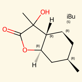 CC[C@H](C)[C@H]1C[C@@H](C)C[C@H]2OC(=O)C(C)(O)[C@H]12